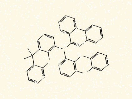 CC1(C)c2ccccc2Oc2c(N(c3cccc4c3Sc3ccccc3O4)c3cc4ccccc4c4ccccc34)cccc21